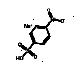 O=[N+]([O-])c1ccc(S(=O)(=O)O)cc1.[Na+]